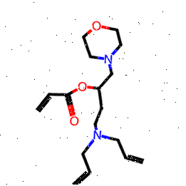 C=CCN(CC=C)CCC(CN1CCOCC1)OC(=O)C=C